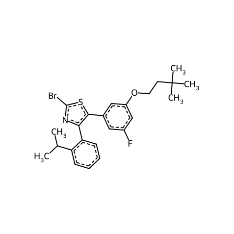 CC(C)c1ccccc1-c1nc(Br)sc1-c1cc(F)cc(OCCC(C)(C)C)c1